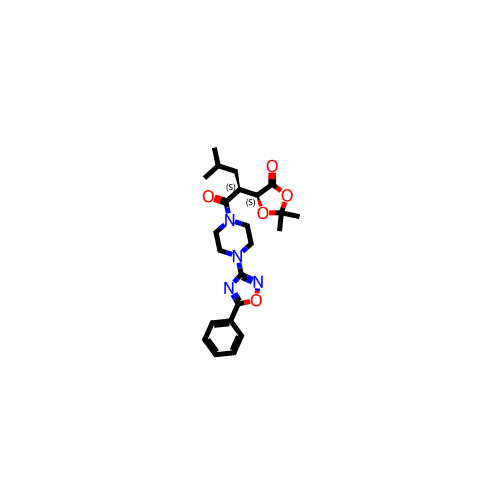 CC(C)C[C@H](C(=O)N1CCN(c2noc(-c3ccccc3)n2)CC1)[C@@H]1OC(C)(C)OC1=O